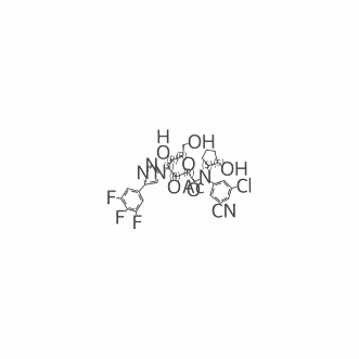 CC(=O)O[C@@H]1[C@@H](n2cc(-c3cc(F)c(F)c(F)c3)nn2)[C@@H](O)[C@@H](CO)O[C@H]1C(=O)N(c1cc(Cl)cc(C#N)c1)[C@H]1CCC[C@@H]1O